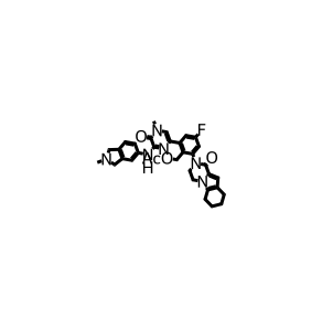 CC(=O)OCc1c(-c2cn(C)c(=O)c(Nc3ccc4c(c3)CN(C)C4)n2)cc(F)cc1N1CCn2c(cc3c2CCCC3)C1=O